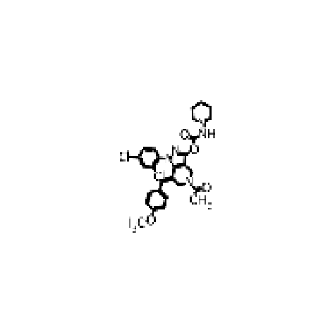 COc1ccc(/C=C2\CN(C(C)=O)Cc3c(OC(=O)NN4CCCCC4)nn(-c4ccc(Cl)cc4Cl)c32)cc1